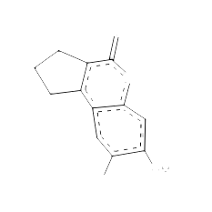 COc1cc2oc(=O)c3c(c2cc1O)CCC3